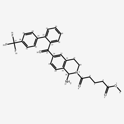 COC(=O)CCCC(=O)N1CCc2cc(C(=O)c3ccccc3-c3ccc(C(F)(F)F)cc3)ccc2C1N